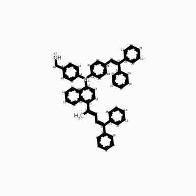 C/C(=C\C=C(c1ccccc1)c1ccccc1)c1ccc(N(c2ccc(C=C(c3ccccc3)c3ccccc3)cc2)c2ccc(CO)cc2)c2ccccc12